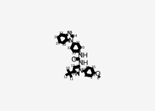 COc1ccc(-n2nc(C(C)(C)C)cc2NC(=O)Nc2ccc(-n3cnc4ccccc43)cc2)cc1